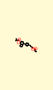 C=CC(=O)OCCCc1ccc(-c2ccc(OC(=O)C(=C)C)c3c2CCC3)cc1